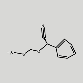 CSCO[C@@H](C#N)c1ccccc1